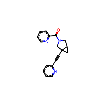 O=C(c1ccccn1)N1CC2CC2(C#Cc2ccccn2)C1